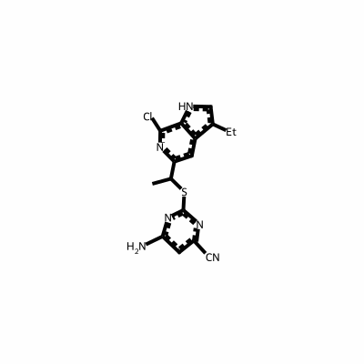 CCc1c[nH]c2c(Cl)nc(C(C)Sc3nc(N)cc(C#N)n3)cc12